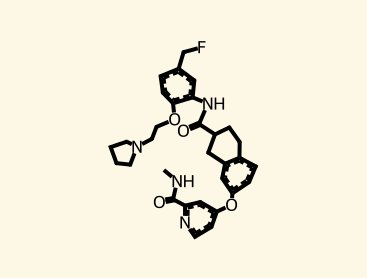 CNC(=O)c1cc(Oc2ccc3c(c2)CC(C(=O)Nc2cc(CF)ccc2OCCN2CCCC2)CC3)ccn1